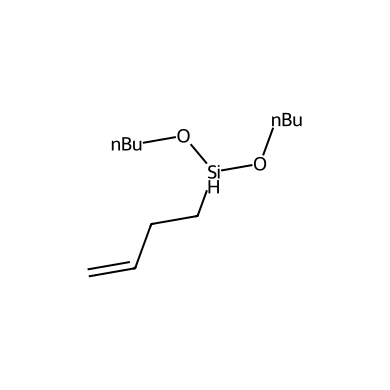 C=CCC[SiH](OCCCC)OCCCC